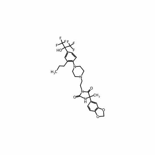 CCCc1cc(C(O)(C(F)(F)F)C(F)(F)F)ccc1N1CCN(CCN2C(=O)NC(C)(c3ccc4c(c3)OCO4)C2=O)CC1